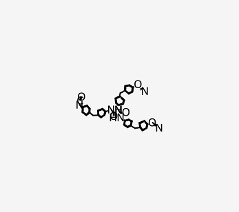 N#COc1ccc(Cc2ccc(NC(=O)N(C(=O)Nc3ccc(Cc4ccc(N=C=O)cc4)cc3)c3ccc(Cc4ccc(OC#N)cc4)cc3)cc2)cc1